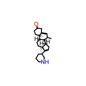 CC1C=C2CC(=O)CC[C@]2(C)[C@@H]2CC[C@]3(C)C(C4CCCNC4)=CC[C@H]3[C@H]12